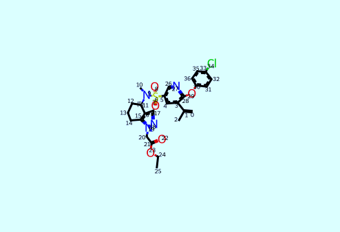 C=C(C)c1cc(S(=O)(=O)N(C)[C@@H]2CCCc3c2cnn3CC(=O)OCC)cnc1Oc1ccc(Cl)cc1